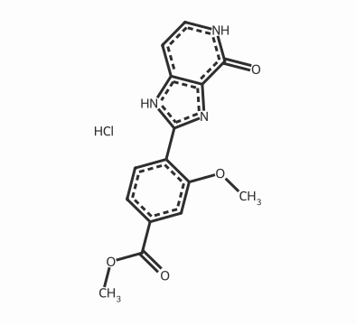 COC(=O)c1ccc(-c2nc3c(=O)[nH]ccc3[nH]2)c(OC)c1.Cl